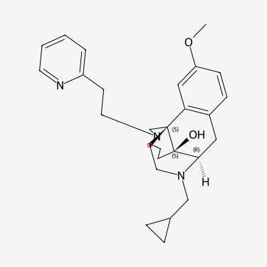 COc1ccc2c(c1)[C@]13CCN(CC4CC4)[C@H](C2)[C@]1(O)CCCN(CCc1ccccn1)C3